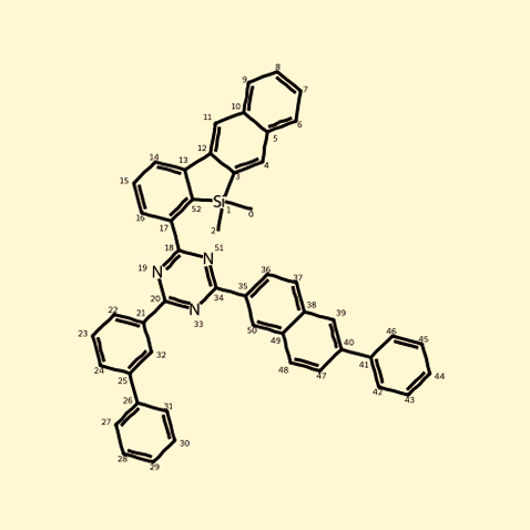 C[Si]1(C)c2cc3ccccc3cc2-c2cccc(-c3nc(-c4cccc(-c5ccccc5)c4)nc(-c4ccc5cc(-c6ccccc6)ccc5c4)n3)c21